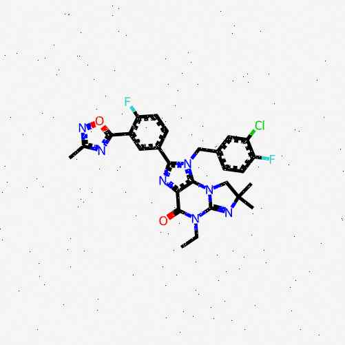 CCN1C(=O)c2nc(-c3ccc(F)c(-c4nc(C)no4)c3)n(Cc3ccc(F)c(Cl)c3)c2N2CC(C)(C)N=C12